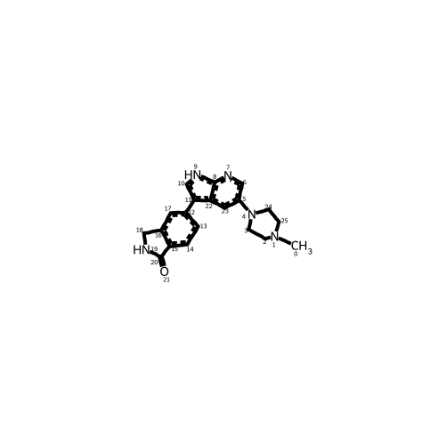 CN1CCN(c2cnc3[nH]cc(-c4ccc5c(c4)CNC5=O)c3c2)CC1